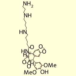 COc1cc(C2c3cc4c(cc3[C@@H](NC(=O)CCCCNCCCCNCCCN)[C@H]3COC(=O)[C@H]23)OCO4)cc(OC)c1O